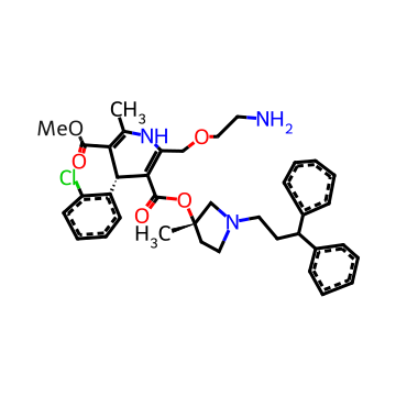 COC(=O)C1=C(C)NC(COCCN)=C(C(=O)O[C@@]2(C)CCN(CCC(c3ccccc3)c3ccccc3)C2)[C@@H]1c1ccccc1Cl